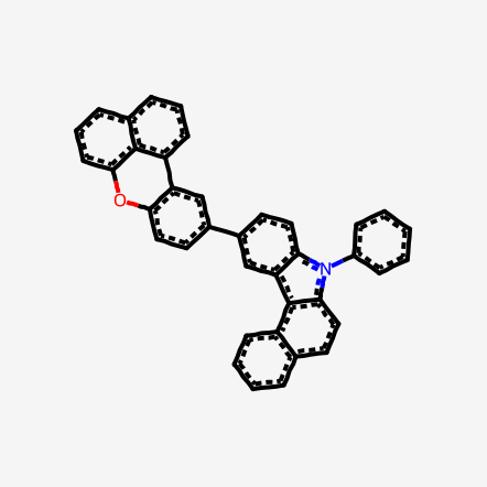 c1ccc(-n2c3ccc(-c4ccc5c(c4)-c4cccc6cccc(c46)O5)cc3c3c4ccccc4ccc32)cc1